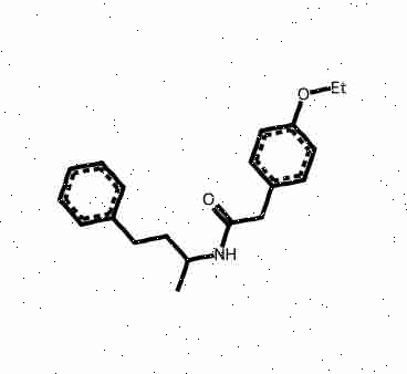 CCOc1ccc(CC(=O)NC(C)CCc2ccccc2)cc1